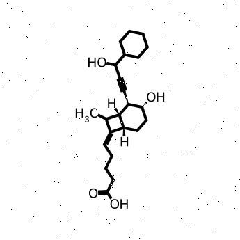 CC1/C(=C/CCCC(=O)O)[C@H]2CC[C@@H](O)[C@H](C#CC(O)C3CCCCC3)[C@@H]12